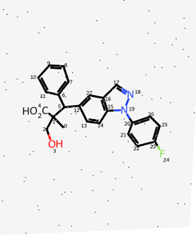 CC(CO)(C(=O)O)C(c1ccccc1)c1ccc2c(cnn2-c2ccc(F)cc2)c1